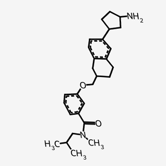 CC(C)CN(C)C(=O)c1cccc(OCC2CCc3cc(C4CCC(N)C4)ccc3C2)c1